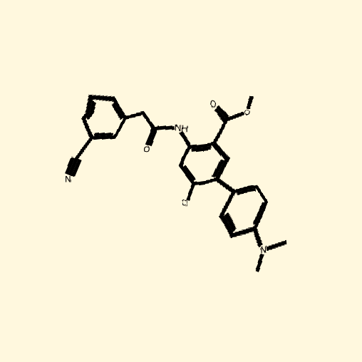 COC(=O)c1cc(-c2ccc(N(C)C)cc2)c(Cl)cc1NC(=O)Cc1cccc(C#N)c1